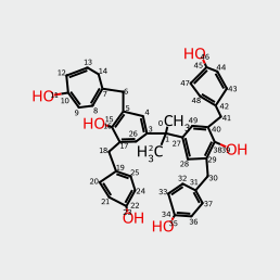 CC(C)(c1cc(CC2=CC=C(O)C=CC2)c(O)c(Cc2ccc(O)cc2)c1)c1cc(Cc2ccc(O)cc2)c(O)c(Cc2ccc(O)cc2)c1